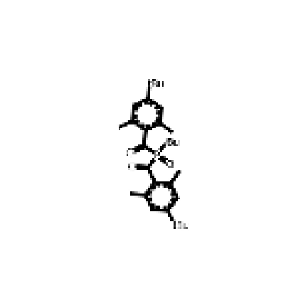 CCC(C)P(=O)(C(=O)c1c(C)cc(C(C)(C)C)cc1C)C(=O)c1c(C)cc(C(C)(C)C)cc1C